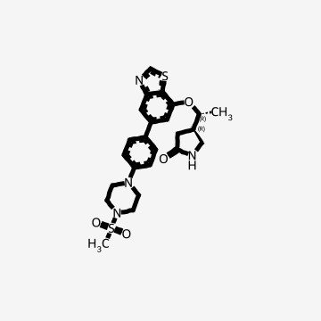 C[C@@H](Oc1cc(-c2ccc(N3CCN(S(C)(=O)=O)CC3)cc2)cc2ncsc12)[C@H]1CNC(=O)C1